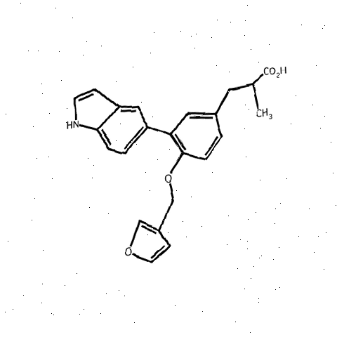 CC(Cc1ccc(OCc2ccoc2)c(-c2ccc3[nH]ccc3c2)c1)C(=O)O